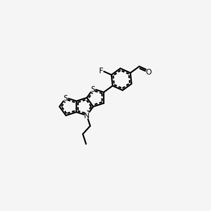 CCCn1c2ccsc2c2sc(-c3ccc(C=O)cc3F)cc21